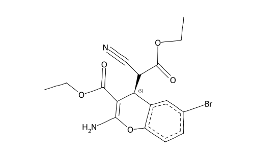 CCOC(=O)C1=C(N)Oc2ccc(Br)cc2[C@@H]1C(C#N)C(=O)OCC